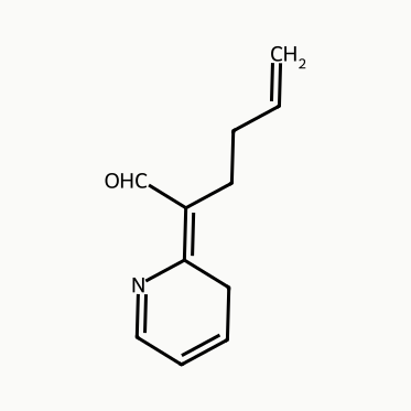 C=CCC/C(C=O)=C1\CC=CC=N1